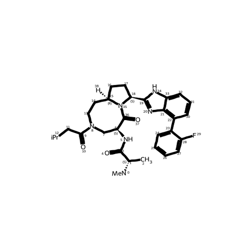 CN[C@@H](C)C(=O)N[C@H]1CN(C(=O)CC(C)C)CC[C@H]2CC[C@@H](c3nc4c(-c5ccccc5F)cccc4[nH]3)N2C1=O